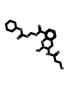 CC(=O)CCC(=O)NC1Cc2cccc(C(=O)OCOC(=O)OC3CCCCC3)c2OB1O